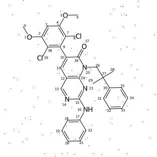 COc1cc(OC)c(Cl)c(-c2cc3cnc(Nc4ccccc4)nc3n(CC(C)(C)c3ccccc3)c2=O)c1Cl